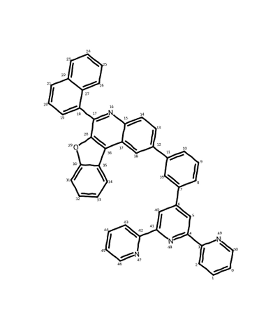 c1ccc(-c2cc(-c3cccc(-c4ccc5nc(-c6cccc7ccccc67)c6oc7ccccc7c6c5c4)c3)cc(-c3ccccn3)n2)nc1